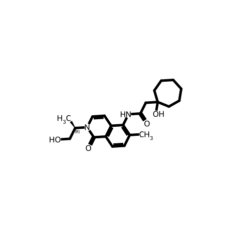 Cc1ccc2c(=O)n([C@H](C)CO)ccc2c1NC(=O)CC1(O)CCCCCC1